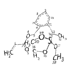 C=CC(=O)OCc1ccccc1C(C)[Si](OC)(OC)OC